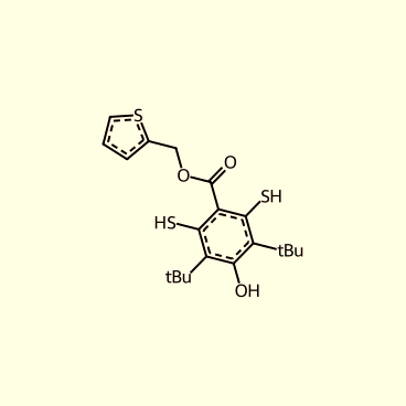 CC(C)(C)c1c(O)c(C(C)(C)C)c(S)c(C(=O)OCc2cccs2)c1S